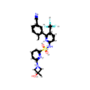 Cc1ccc(C#N)cc1-c1nc(NS(=O)(=O)c2cccc(N3CC(C)(O)C3)n2)ccc1C(F)(F)F